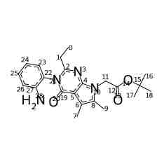 CCc1nc2c(c(C)c(C)n2CC(=O)OC(C)(C)C)c(=O)n1-c1ccccc1N